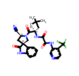 CC(C)(C)C[C@H](NC(=O)C(=O)Nc1cnccc1C(F)(F)F)C(=O)N1C[C@]2(C[C@H]1C#N)C(=O)Nc1ccccc12